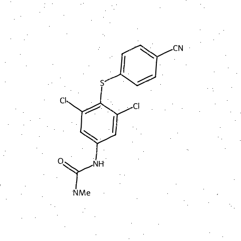 CNC(=O)Nc1cc(Cl)c(Sc2ccc(C#N)cc2)c(Cl)c1